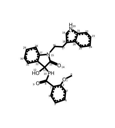 COc1ccccc1C(=O)PC1(O)C(=O)N(CCc2c[nH]c3ccccc23)c2ccccc21